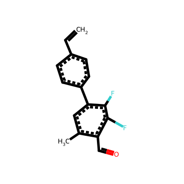 C=Cc1ccc(-c2cc(C)c(C=O)c(F)c2F)cc1